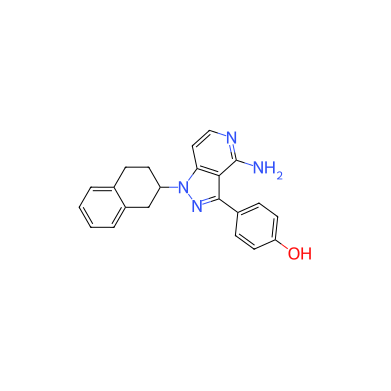 Nc1nccc2c1c(-c1ccc(O)cc1)nn2C1CCc2ccccc2C1